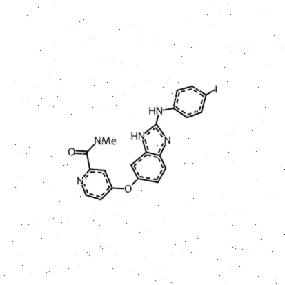 CNC(=O)c1cc(Oc2ccc3nc(Nc4ccc(I)cc4)[nH]c3c2)ccn1